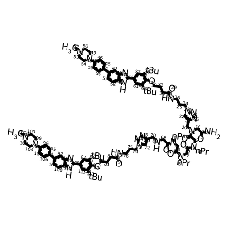 CCCN(CC(=O)N(CCC)CC(=O)N(CCC)CC(=O)N(CC(N)=O)Cc1cn(CCCNC(=O)CCCOc2c(C(C)(C)C)cc(-c3nc4cc(-c5ccc(N6CCN(C)CC6)cc5)ccc4[nH]3)cc2C(C)(C)C)nn1)C(=O)CNCc1cn(CCCNC(=O)CCCOc2c(C(C)(C)C)cc(-c3nc4cc(-c5ccc(N6CCN(C)CC6)cc5)ccc4[nH]3)cc2C(C)(C)C)nn1